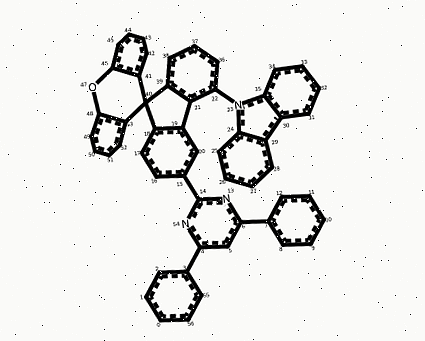 c1ccc(-c2cc(-c3ccccc3)nc(-c3ccc4c(c3)-c3c(-n5c6ccccc6c6ccccc65)cccc3C43c4ccccc4Oc4ccccc43)n2)cc1